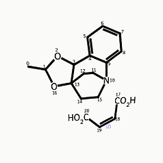 CC1OC2c3ccccc3N3CCC2(CC3)O1.O=C(O)/C=C\C(=O)O